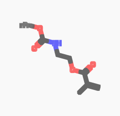 [CH2]CCOC(=O)NCCOC(=O)C(=C)C